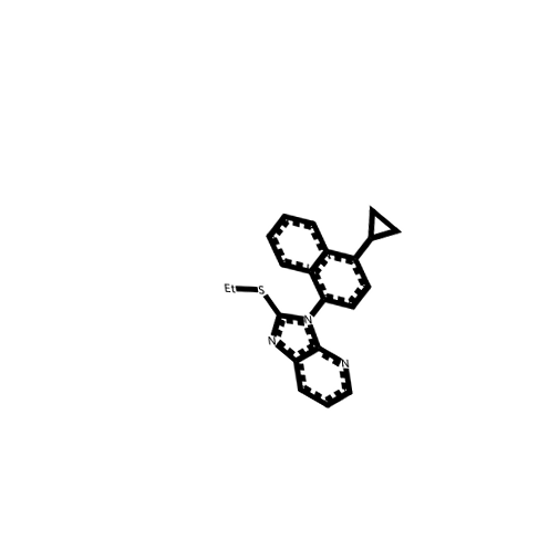 CCSc1nc2cccnc2n1-c1ccc(C2CC2)c2ccccc12